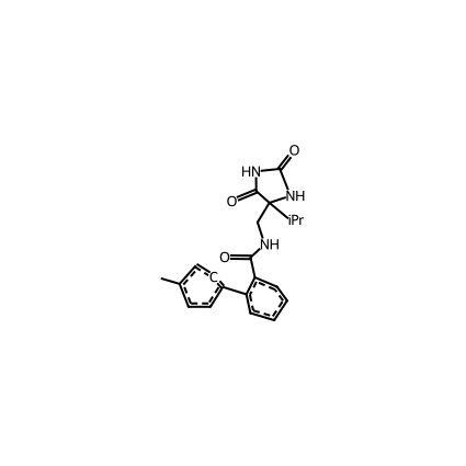 Cc1ccc(-c2ccccc2C(=O)NCC2(C(C)C)NC(=O)NC2=O)cc1